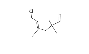 C=CC(C)(C)CC(C)=CCCl